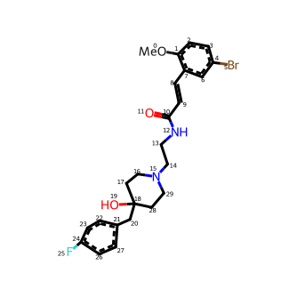 COc1ccc(Br)cc1/C=C/C(=O)NCCN1CCC(O)(Cc2ccc(F)cc2)CC1